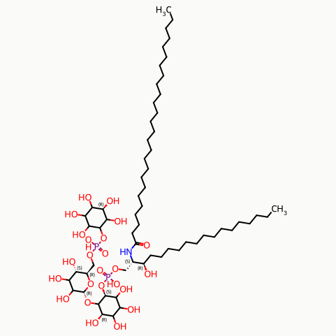 CCCCCCCCCCCCCCCCCCCCCCCCCC(=O)N[C@@H](COP(=O)(O)O[C@H]1C(O)C(O)C(O)[C@@H](O)C1O[C@H]1O[C@H](COP(=O)(O)OC2C(O)C(O)C(O)[C@@H](O)C2O)[C@@H](O)C(O)C1O)[C@H](O)CCCCCCCCCCCCCCC